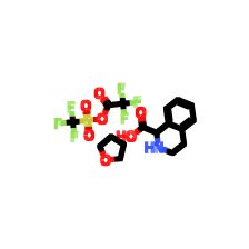 C1CCOC1.O=C(O)C1NCCc2ccccc21.O=C(OS(=O)(=O)C(F)(F)F)C(F)(F)F